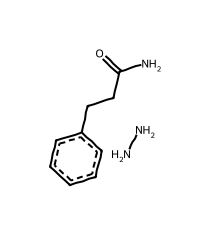 NC(=O)CCc1ccccc1.NN